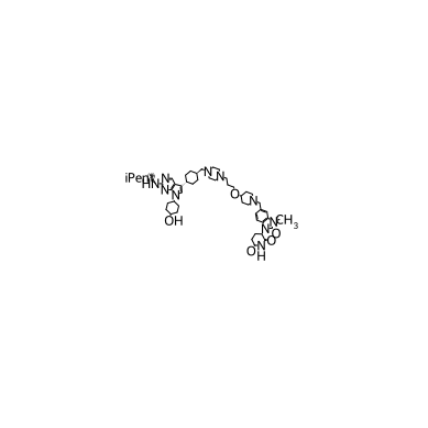 CCC[C@H](C)Nc1ncc2c(n1)n([C@H]1CC[C@H](O)CC1)cc2[C@H]1CC[C@H](CN2CCN(CCCOC3CCN(Cc4ccc5c(c4)n(C)c(=O)n5C4CCC(=O)NC4=O)CC3)CC2)CC1